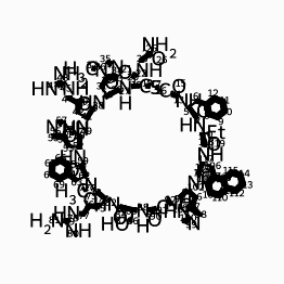 CC[C@@H]1NC(=O)[C@H](Cc2ccccc2)NC(=O)CSC[C@@H](C(=O)NCC(N)=O)NC(=O)[C@H](Cc2cncn2C)NC(=O)[C@H](CCCNC(=N)N)NC(=O)[C@H](Cc2cnc[nH]2)NC(=O)[C@H](Cc2ccccc2)N(C)C(=O)[C@H](CCCNC(=N)N)NC(=O)[C@H](CO)NC(=O)CNC(=O)C(Cc2cnc[nH]2)NC(=O)[C@H](Cc2cccc3ccccc23)NC1=O